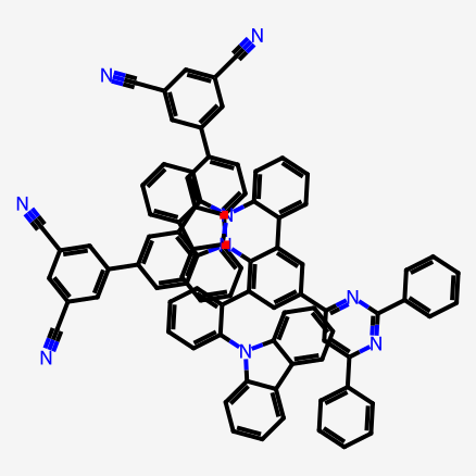 N#Cc1cc(C#N)cc(-c2ccc3c(c2)c2cc(-c4cc(C#N)cc(C#N)c4)ccc2n3-c2c(-c3ccccc3-n3c4ccccc4c4ccccc43)cc(-c3cc(-c4ccccc4)nc(-c4ccccc4)n3)cc2-c2ccccc2-n2c3ccccc3c3ccccc32)c1